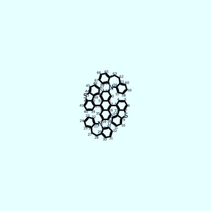 C1=c2c(-c3cccc4sc5ccccc5c34)c3ccc(N4c5ccccc5CCc5ccccc54)cc3c(-c3cccc4sc5ccccc5c34)c2=CCC1N1c2ccccc2CCc2ccccc21